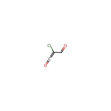 O=C=C(Cl)C=O